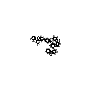 c1ccc(-c2cccc3c2oc2ccc(-c4ccc(N(c5ccc(-c6cccc7sc8ccccc8c67)cc5)c5cccc6oc7ccccc7c56)cc4)cc23)cc1